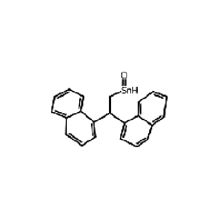 [O]=[SnH][CH2]C(c1cccc2ccccc12)c1cccc2ccccc12